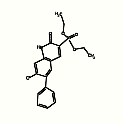 CCOP(=O)(OCC)c1cc2cc(-c3ccccc3)c(Cl)cc2[nH]c1=O